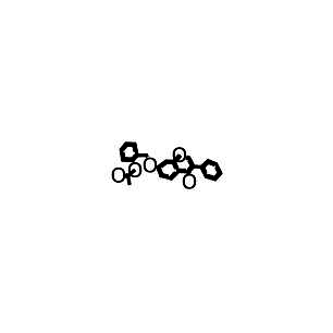 CC(=O)Oc1ccccc1COc1ccc2c(=O)c(-c3ccccc3)coc2c1